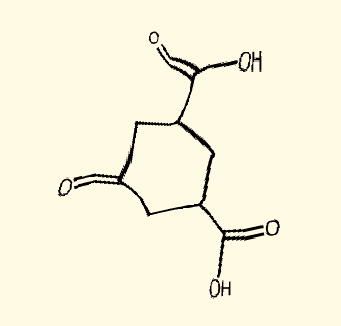 O=C1CC(C(=O)O)CC(C(=O)O)C1